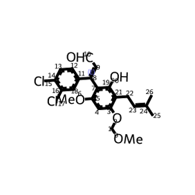 COCOc1cc(OC)c(/C(=C/C=O)c2ccc(Cl)c(Cl)c2)c(O)c1CC=C(C)C